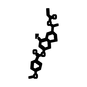 C=CC(=O)OC(C)c1ccc2cc(OC(=O)c3ccc(OC)cc3)cc(F)c2c1